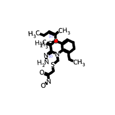 C=C(O/C(C)=C\CC)/C(=N/N)N(CSCC(=O)N=O)C1=C(CC)CCC=C1CC